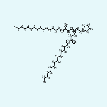 CCCCCCCCCCCCCCCOC(=O)CCN(CCC(=O)OCCCCCCCCCCCCCCC)CCN1CCCC1